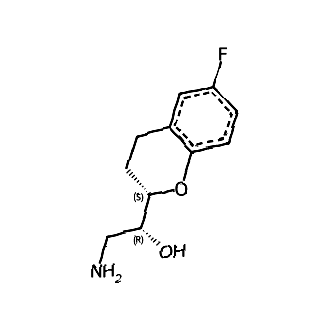 NC[C@@H](O)[C@@H]1CCc2cc(F)ccc2O1